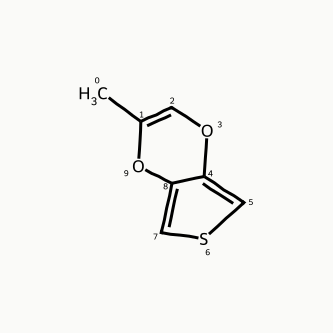 CC1=COc2cscc2O1